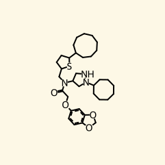 O=C(COc1ccc2c(c1)OCO2)N(CC1CCC(C2CCCCCCCC2)S1)C1CNN(C2CCCCCCC2)C1